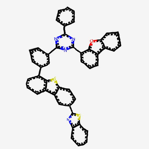 c1ccc(-c2nc(-c3cccc(-c4cccc5c4sc4ccc(-c6nc7ccccc7s6)cc45)c3)nc(-c3cccc4c3oc3ccccc34)n2)cc1